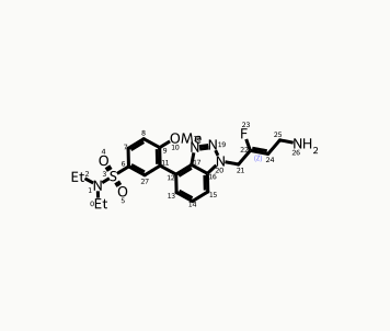 CCN(CC)S(=O)(=O)c1ccc(OC)c(-c2cccc3c2nnn3C/C(F)=C/CN)c1